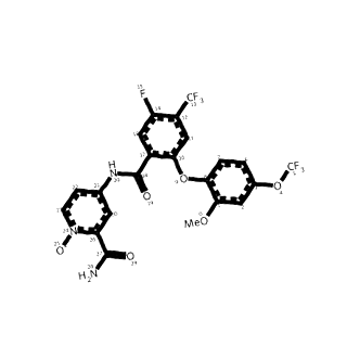 COc1cc(OC(F)(F)F)ccc1Oc1cc(C(F)(F)F)c(F)cc1C(=O)Nc1cc[n+]([O-])c(C(N)=O)c1